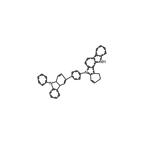 C1=Cc2c(c3c4[nH]c5ccccc5c4ccc3n2-c2ccc(C3=CC4c5ccccc5N(c5ccccc5)C4C=C3)cc2)CC1